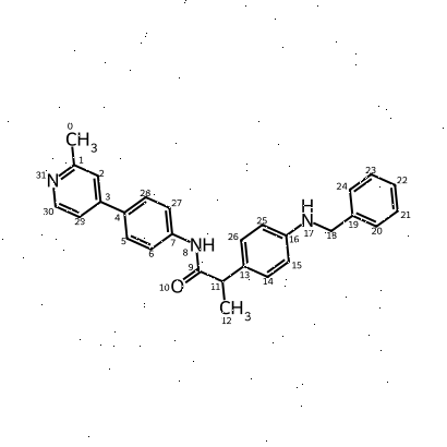 Cc1cc(-c2ccc(NC(=O)C(C)c3ccc(NCc4ccccc4)cc3)cc2)ccn1